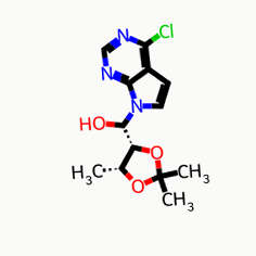 C[C@H]1OC(C)(C)O[C@H]1C(O)n1ccc2c(Cl)ncnc21